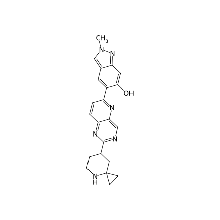 Cn1cc2cc(-c3ccc4nc(C5CCNC6(CC6)C5)ncc4n3)c(O)cc2n1